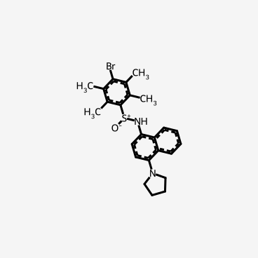 Cc1c(C)c([S+]([O-])Nc2ccc(N3CCCC3)c3ccccc23)c(C)c(C)c1Br